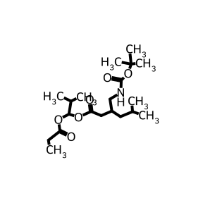 CCC(=O)OC(OC(=O)CC(CNC(=O)OC(C)(C)C)CC(C)C)C(C)C